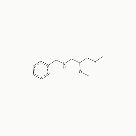 C[CH]CC(CNCc1ccccc1)OC